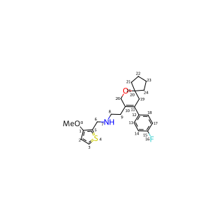 COc1ccsc1CNCCC1=C(c2ccc(F)cc2)CC2(CCCC2)OC1